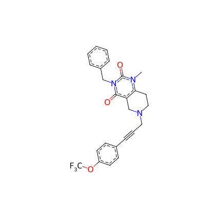 Cn1c2c(c(=O)n(Cc3ccccc3)c1=O)CN(CC#Cc1ccc(OC(F)(F)F)cc1)CC2